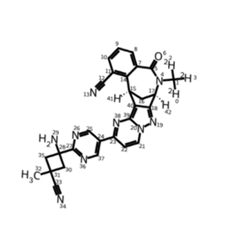 [2H]C([2H])([2H])N1C(=O)c2cccc(C#N)c2[C@H]2C[C@@H]1c1nn3ccc(-c4cnc(C5(N)CC(C)(C#N)C5)nc4)nc3c12